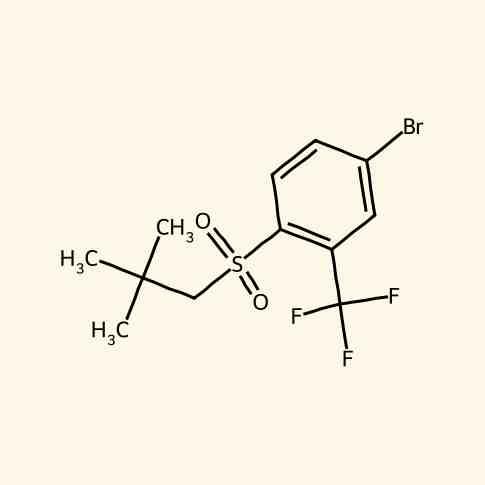 CC(C)(C)CS(=O)(=O)c1ccc(Br)cc1C(F)(F)F